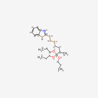 CCCO[Si](OCCC)(OCCC)C(C)CCSSSc1nc2ccccc2s1